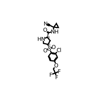 N#CC1(NC(=O)[C@H]2C[C@@H](S(=O)(=O)c3ccc(OCC(F)(F)F)cc3Cl)CN2)CC1